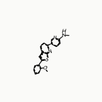 CNc1ccc(-c2ccc3cc(-c4ccccc4OC)sc3n2)cn1